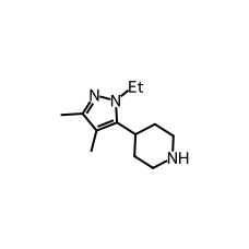 CCn1nc(C)c(C)c1C1CCNCC1